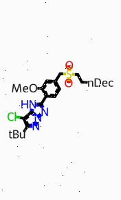 CCCCCCCCCCCCS(=O)(=O)Cc1ccc(-c2nn3nc(C(C)(C)C)c(Cl)c3[nH]2)c(OC)c1